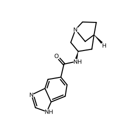 O=C(N[C@@H]1C[C@H]2CCN(C2)C1)c1ccc2[nH]cnc2c1